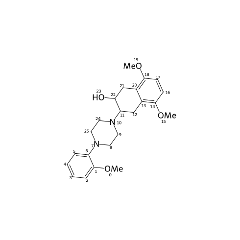 COc1ccccc1N1CCN(C2Cc3c(OC)ccc(OC)c3CC2O)CC1